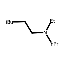 CCCN(CC)CCC(C)CC